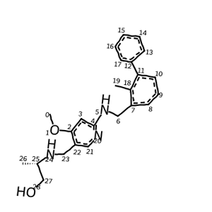 COc1cc(NCc2cccc(-c3ccccc3)c2C)ncc1CN[C@@H](C)CO